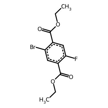 CCOC(=O)c1cc(Br)c(C(=O)OCC)cc1F